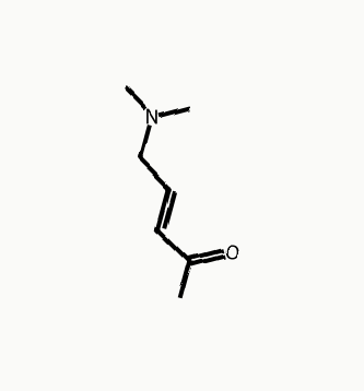 CC(=O)/C=C/CN(C)C